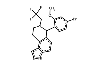 COc1cc(Br)ccc1C1c2ccc3[nH]ncc3c2CCN1CC(F)(F)F